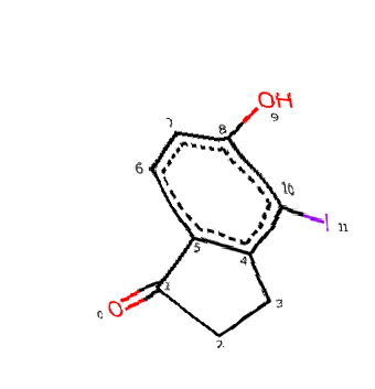 O=C1CCc2c1ccc(O)c2I